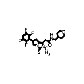 Cn1c(CC(=O)NCC2CCOCC2)c2n(c1=S)CC(c1c(F)c(F)cc(F)c1F)C2